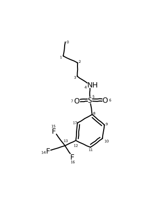 CCCCNS(=O)(=O)c1cccc(C(F)(F)F)c1